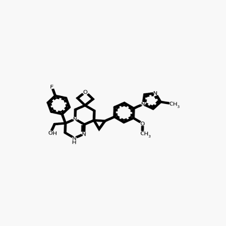 COc1cc(C2CC23CC2(COC2)CN2C3=NNCC2(CO)c2ccc(F)cc2)ccc1-n1cnc(C)c1